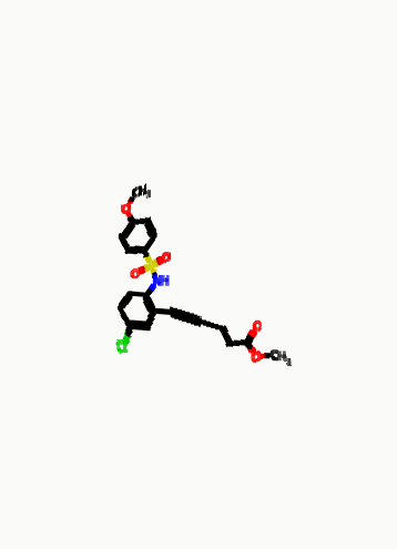 COC(=O)CCC#Cc1cc(Cl)ccc1NS(=O)(=O)c1ccc(OC)cc1